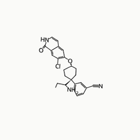 CCC(N)[C@]1(c2cccc(C#N)c2)CC[C@H](Oc2cc3cc[nH]c(=O)c3cc2Cl)CC1